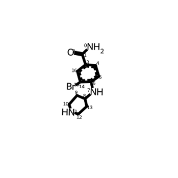 NC(=O)c1ccc(NC2CCNCC2)c(Br)c1